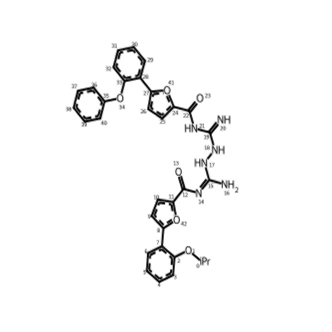 CC(C)Oc1ccccc1-c1ccc(C(=O)N=C(N)NNC(=N)NC(=O)c2ccc(-c3ccccc3Oc3ccccc3)o2)o1